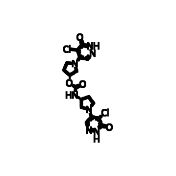 O=C(N[C@H]1CCN(c2cn[nH]c(=O)c2Cl)C1)O[C@@H]1CCN(c2cn[nH]c(=O)c2Cl)C1